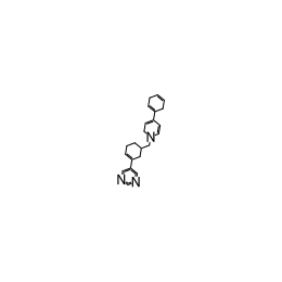 C1=CCC(C2=CCN(CC3CCC=C(c4cncnc4)C3)C=C2)=CC1